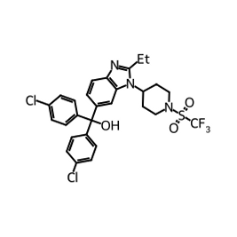 CCc1nc2ccc(C(O)(c3ccc(Cl)cc3)c3ccc(Cl)cc3)cc2n1C1CCN(S(=O)(=O)C(F)(F)F)CC1